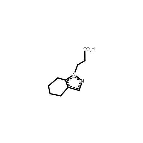 O=C(O)CCn1ncc2c1CCCC2